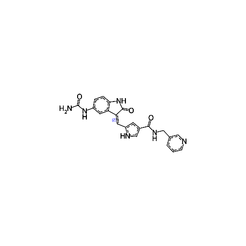 NC(=O)Nc1ccc2c(c1)/C(=C/c1cc(C(=O)NCc3cccnc3)c[nH]1)C(=O)N2